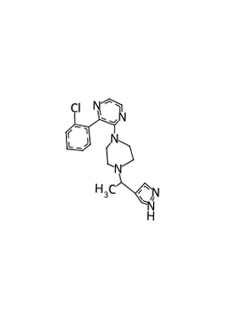 CC(c1cn[nH]c1)N1CCN(c2nccnc2-c2ccccc2Cl)CC1